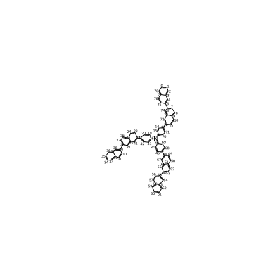 c1ccc2cc(-c3ccc4ccc(-c5ccc(N(c6ccc(-c7ccc8ccc(-c9ccc%10ccccc%10c9)cc8c7)cc6)c6ccc(-c7ccc8ccc(-c9ccc%10ccccc%10c9)cc8c7)cc6)cc5)cc4c3)ccc2c1